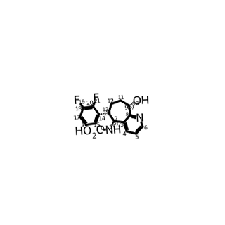 O=C(O)N[C@@H]1c2cccnc2[C@@H](O)CC[C@H]1c1cccc(F)c1F